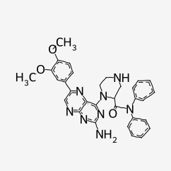 COc1ccc(-c2cnc3nc(N)nc(N4CCNCC4C(=O)N(c4ccccc4)c4ccccc4)c3n2)cc1OC